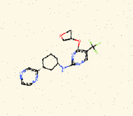 FC(F)(F)c1cnc(N[C@@H]2CCC[C@@H](c3cnccn3)C2)nc1OC1COC1